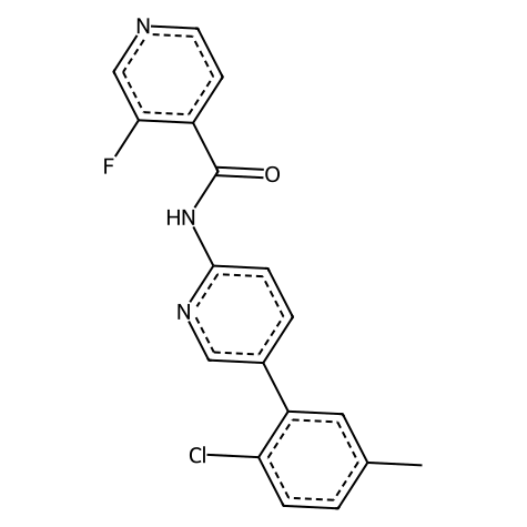 Cc1ccc(Cl)c(-c2ccc(NC(=O)c3ccncc3F)nc2)c1